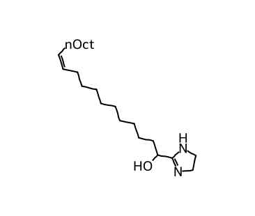 CCCCCCCC/C=C\CCCCCCCCCC(O)C1=NCCN1